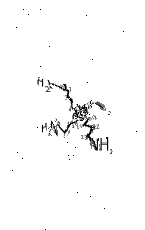 NCCCC[SiH]1O[SiH2]O[Si](CCCCN)(CCCCN)O1